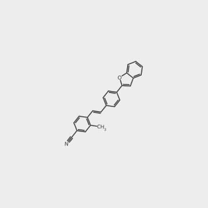 Cc1cc(C#N)ccc1C=Cc1ccc(-c2cc3ccccc3o2)cc1